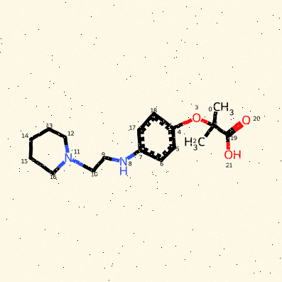 CC(C)(Oc1ccc(NCCN2CCCCC2)cc1)C(=O)O